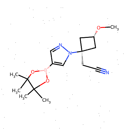 CO[C@H]1C[C@](CC#N)(n2cc(B3OC(C)(C)C(C)(C)O3)cn2)C1